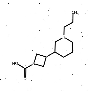 CCCN1CCCC(C2CN(C(=O)O)C2)C1